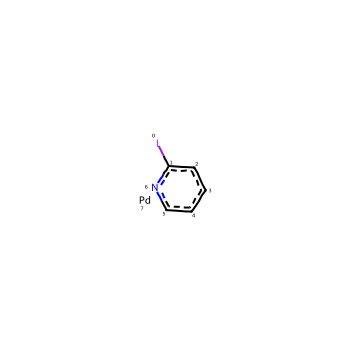 Ic1ccccn1.[Pd]